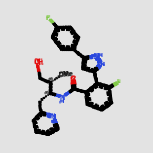 CO[C@@H](CO)[C@@H](Cc1ccccn1)NC(=O)c1cccc(F)c1-c1cc(-c2ccc(F)cc2)[nH]n1